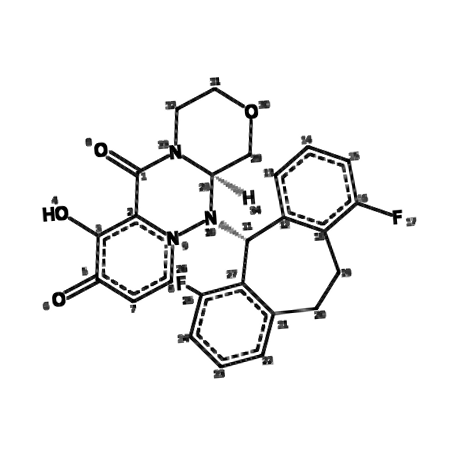 O=C1c2c(O)c(=O)ccn2N([C@@H]2c3cccc(F)c3CCc3cccc(F)c32)[C@@H]2COCCN12